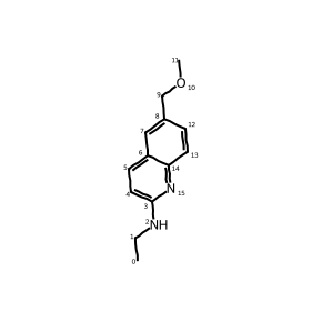 CCNc1ccc2cc(COC)ccc2n1